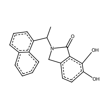 CC(c1cccc2ccccc12)N1Cc2ccc(O)c(O)c2C1=O